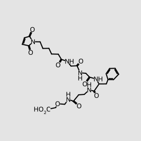 O=C(O)COCNC(=O)CCNC(=O)C(Cc1ccccc1)NC(=O)CNC(=O)CNC(=O)CCCCCN1C(=O)C=CC1=O